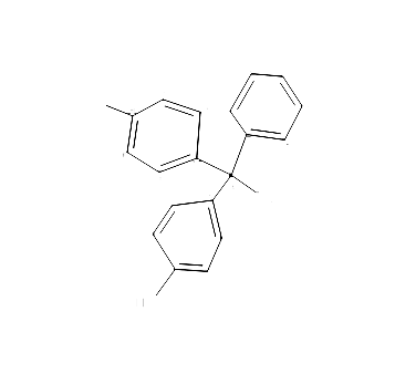 Oc1ccc(C(F)(c2ccccc2)c2ccc(O)cc2)cc1